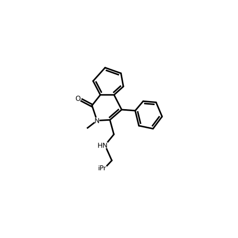 CC(C)CNCc1c(-c2ccccc2)c2ccccc2c(=O)n1C